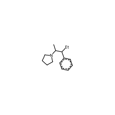 CCC(c1ccccc1)C(C)N1CCCC1